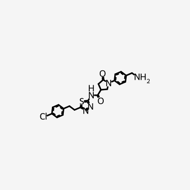 NCc1ccc(N2CC(C(=O)Nc3nnc(CCc4ccc(Cl)cc4)s3)CC2=O)cc1